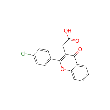 O=C(O)Cc1c(-c2ccc(Cl)cc2)oc2ccccc2c1=O